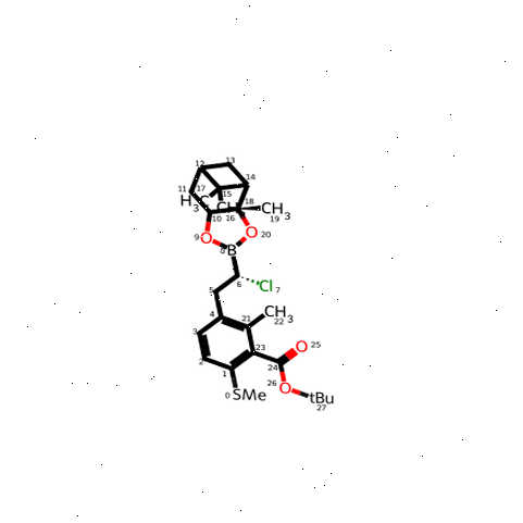 CSc1ccc(C[C@@H](Cl)B2OC3CC4CC(C4(C)C)[C@]3(C)O2)c(C)c1C(=O)OC(C)(C)C